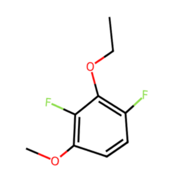 CCOc1c(F)ccc(OC)c1F